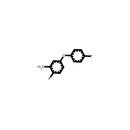 [CH2]c1cc(Oc2ccc(F)cc2)ccc1F